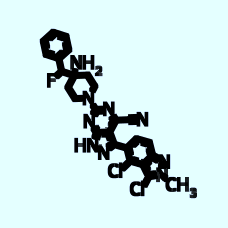 Cn1nc2ccc(-c3n[nH]c4nc(N5CCC(N)(C(F)c6ccccc6)CC5)nc(C#N)c34)c(Cl)c2c1Cl